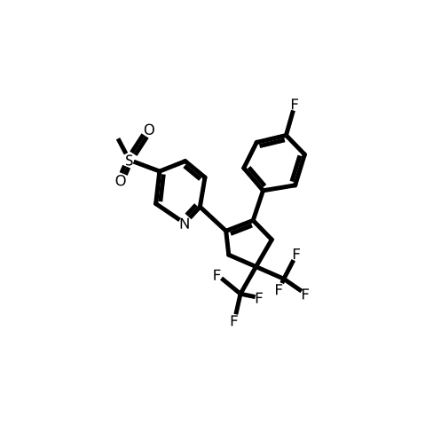 CS(=O)(=O)c1ccc(C2=C(c3ccc(F)cc3)CC(C(F)(F)F)(C(F)(F)F)C2)nc1